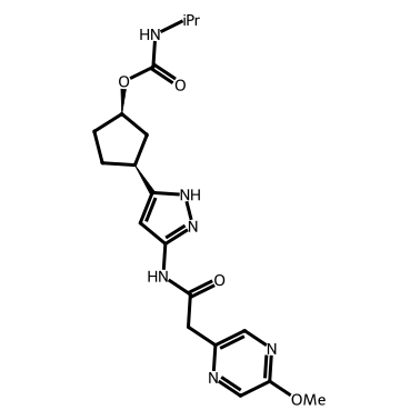 COc1cnc(CC(=O)Nc2cc([C@H]3CC[C@@H](OC(=O)NC(C)C)C3)[nH]n2)cn1